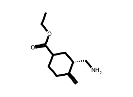 C=C1CCC(C(=O)OCC)C[C@@H]1CN